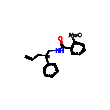 C=CC[C@@H](CNC(=O)c1ccccc1OC)c1ccccc1